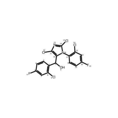 OC(c1ccc(F)cc1Cl)c1c(Cl)nc(Cl)n1-c1ccc(F)cc1Cl